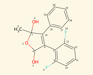 CC1(O)OC(O)C(c2c(F)cccc2F)=C1c1ccccc1